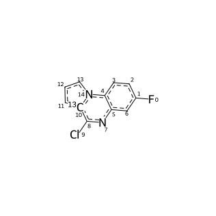 Fc1ccc2c(c1)nc(Cl)[13c]1cccn21